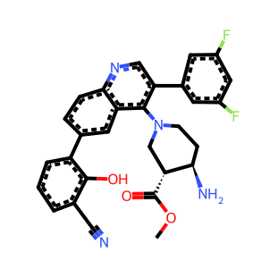 COC(=O)[C@@H]1CN(c2c(-c3cc(F)cc(F)c3)cnc3ccc(-c4cccc(C#N)c4O)cc23)CC[C@H]1N